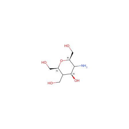 NC1[C@@H](O)C(CO)[C@@H](CO)O[C@H]1CO